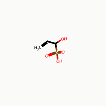 C=C[C](O)S(=O)(=O)O